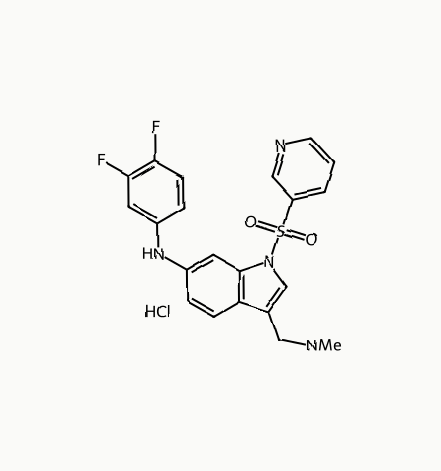 CNCc1cn(S(=O)(=O)c2cccnc2)c2cc(Nc3ccc(F)c(F)c3)ccc12.Cl